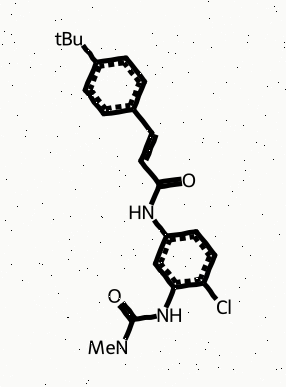 CNC(=O)Nc1cc(NC(=O)C=Cc2ccc(C(C)(C)C)cc2)ccc1Cl